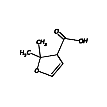 CC1(C)OC=CC1C(=O)O